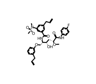 C=CCc1cccc(OC[C@H](NC(=O)c2cc(CC=C)cc(N(C)S(C)(=O)=O)c2)[C@@H](O)C[C@@H](OC)C(=O)Nc2ccc(F)cc2)c1